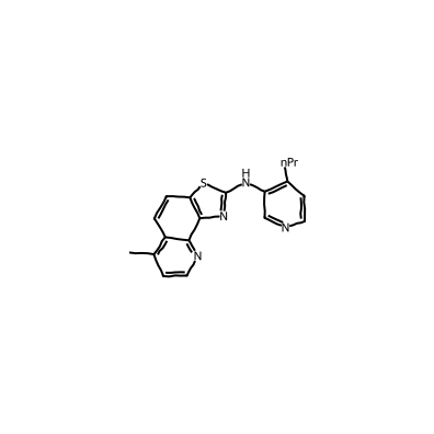 CCCc1ccncc1Nc1nc2c(ccc3c(C)ccnc32)s1